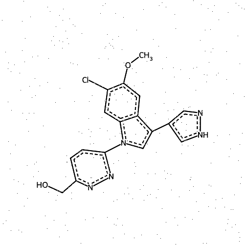 COc1cc2c(-c3cn[nH]c3)cn(-c3ccc(CO)nn3)c2cc1Cl